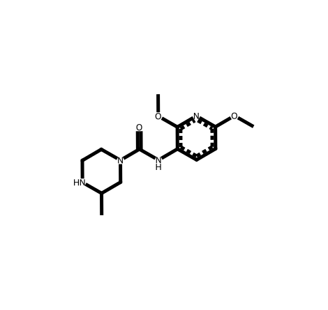 COc1ccc(NC(=O)N2CCNC(C)C2)c(OC)n1